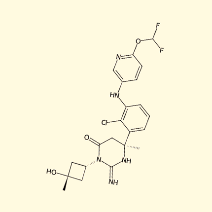 C[C@@]1(c2cccc(Nc3ccc(OC(F)F)nc3)c2Cl)CC(=O)N([C@H]2C[C@@](C)(O)C2)C(=N)N1